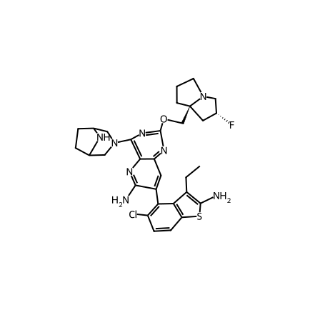 CCc1c(N)sc2ccc(Cl)c(-c3cc4nc(OC[C@@]56CCCN5C[C@H](F)C6)nc(N5CC6CCC(C5)N6)c4nc3N)c12